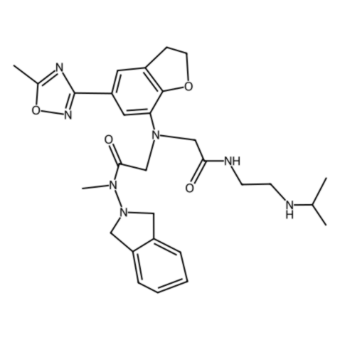 Cc1nc(-c2cc3c(c(N(CC(=O)NCCNC(C)C)CC(=O)N(C)N4Cc5ccccc5C4)c2)OCC3)no1